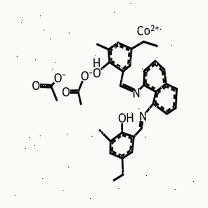 CC(=O)[O-].CC(=O)[O-].CCc1cc(C)c(O)c(C=Nc2cccc3cccc(N=Cc4cc(CC)cc(C)c4O)c23)c1.[Co+2]